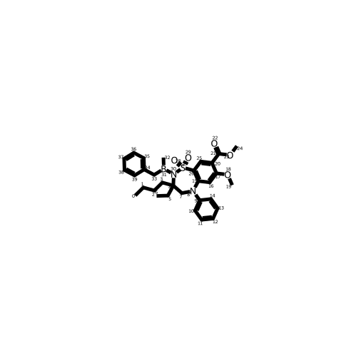 CCCCC1(CC)CN(c2ccccc2)c2cc(OC)c(C(=O)OC)cc2S(=O)(=O)N1B(C)Cc1ccccc1